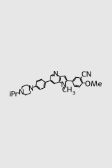 COc1ccc(-c2cc3ncc(-c4ccc(N5CCN(C(C)C)CC5)cc4)cc3n2C)cc1C#N